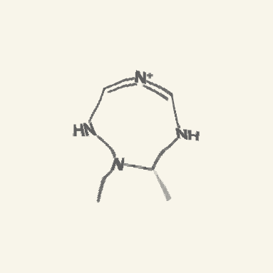 C[C@H]1NC=[N+]=CNN1C